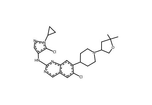 CC1(C)CC(N2CCC(c3cc4nc(Nc5cnn(C6CC6)c5Cl)ncc4cc3Cl)CC2)CO1